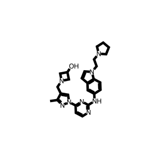 Cc1nn(-c2ccnc(Nc3ccc4c(ccn4CCN4CCCC4)c3)n2)cc1CN1CC(O)C1